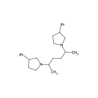 CC(C)C1CCN(C(C)CCC(C)N2CCC(C(C)C)C2)C1